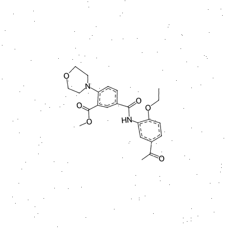 CCOc1ccc(C(C)=O)cc1NC(=O)c1ccc(N2CCOCC2)c(C(=O)OC)c1